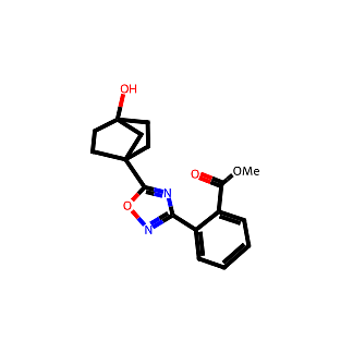 COC(=O)c1ccccc1-c1noc(C23CCC(O)(CC2)C3)n1